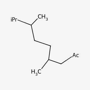 CC(=O)CC(C)CCC(C)C(C)C